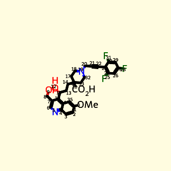 COc1ccc2ncc(CO)c([C@@H](O)CCC3(C(=O)O)CCN(CC#Cc4c(F)cc(F)cc4F)CC3)c2c1